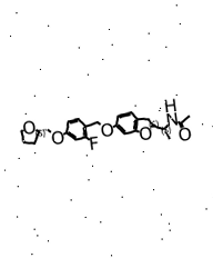 CC(=O)N[C@@H](C)[C@@H]1Cc2ccc(OCc3ccc(OC[C@@H]4CCCO4)cc3F)cc2O1